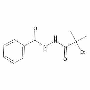 CCC(C)(C)C(=O)NNC(=O)c1ccccc1